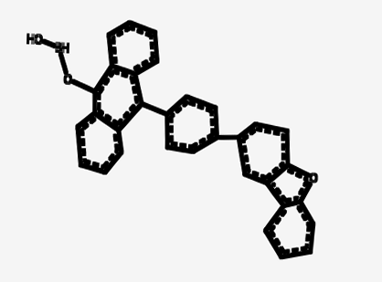 OBOc1c2ccccc2c(-c2ccc(-c3ccc4oc5ccccc5c4c3)cc2)c2ccccc12